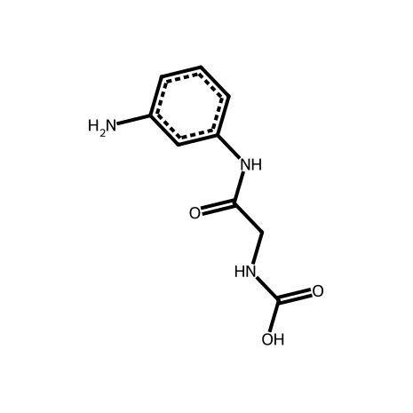 Nc1cccc(NC(=O)CNC(=O)O)c1